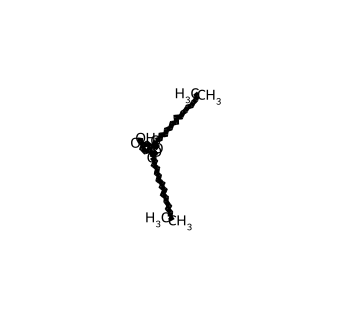 CC(C)CCCCCCCCCCCCCCCOC(=O)c1ccc(C(=O)O)cc1C(=O)OCCCCCCCCCCCCCCCC(C)C